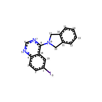 Ic1ccc2ncnc(N3Cc4ccccc4C3)c2c1